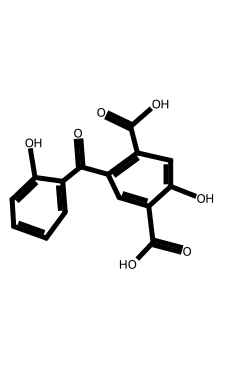 O=C(O)c1cc(C(=O)c2ccccc2O)c(C(=O)O)cc1O